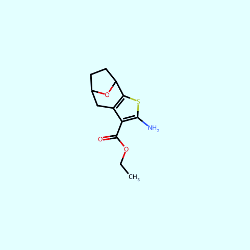 CCOC(=O)c1c(N)sc2c1CC1CCC2O1